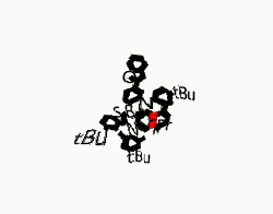 Cc1cc(C(C)(C)C)cc(C)c1N1c2cc(C(C)C)cc3c2B(c2ccc(-c4cc5ccccc5o4)cc2N3c2ccc(C(C)(C)C)cc2-c2ccccc2)c2sc3ccc(C(C)(C)C)cc3c21